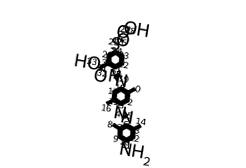 Cc1cc(N=Nc2c(C)cc(N)cc2C)c(C)cc1N=Nc1ccc(SOOO)cc1C(=O)O